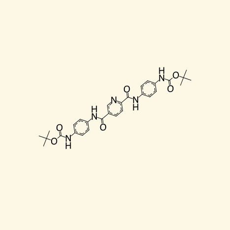 CC(C)(C)OC(=O)Nc1ccc(NC(=O)c2ccc(C(=O)Nc3ccc(NC(=O)OC(C)(C)C)cc3)nc2)cc1